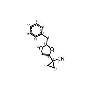 N#CC1(C2=COC(Cc3ccccc3)O2)CC1